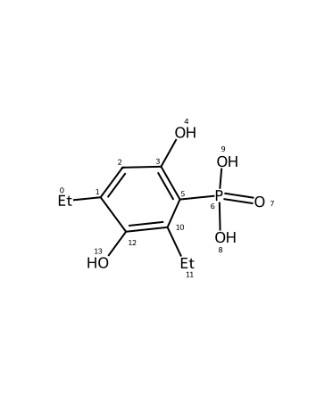 CCc1cc(O)c(P(=O)(O)O)c(CC)c1O